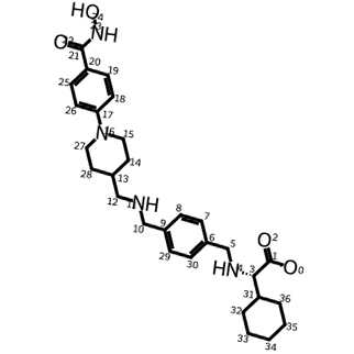 [O]C(=O)[C@@H](NCc1ccc(CNCC2CCN(c3ccc(C(=O)NO)cc3)CC2)cc1)C1CCCCC1